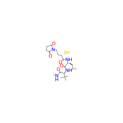 CNC(=O)[C@@H](NC(=O)[C@H](CC(C)C)NC(=O)[C@@H](S)CCN1C(=O)CCC1=O)C(C)(C)C